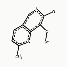 Cc1ccc2cnc(Cl)c(OC(C)C)c2n1